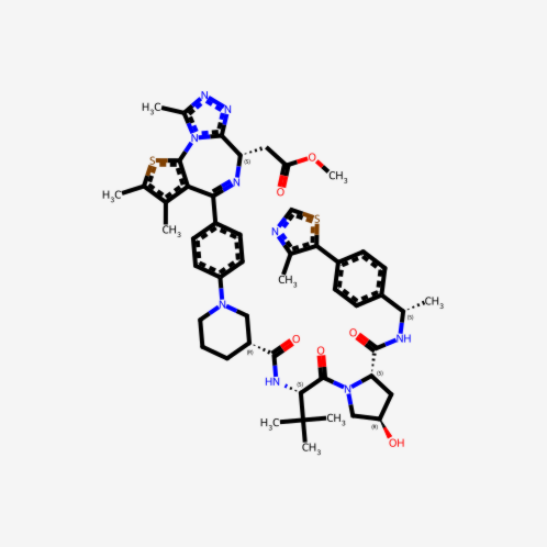 COC(=O)C[C@@H]1N=C(c2ccc(N3CCC[C@@H](C(=O)N[C@H](C(=O)N4C[C@H](O)C[C@H]4C(=O)N[C@@H](C)c4ccc(-c5scnc5C)cc4)C(C)(C)C)C3)cc2)c2c(sc(C)c2C)-n2c(C)nnc21